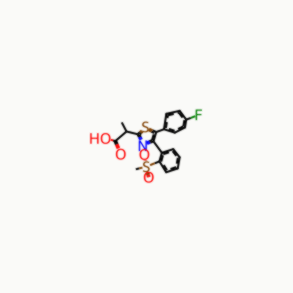 CC(C(=O)O)c1nc(-c2ccccc2S(C)(=O)=O)c(-c2ccc(F)cc2)s1